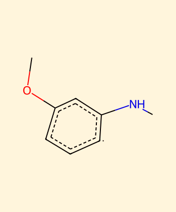 CNc1[c]ccc(OC)c1